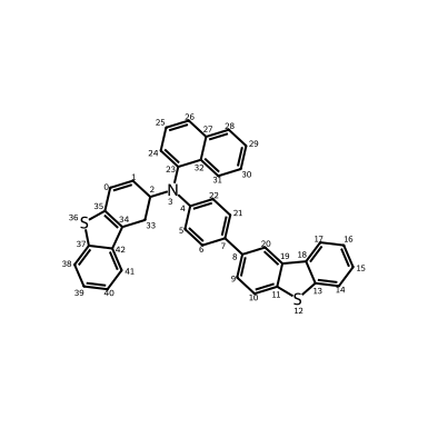 C1=CC(N(c2ccc(-c3ccc4sc5ccccc5c4c3)cc2)c2cccc3ccccc23)Cc2c1sc1ccccc21